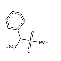 CCOC(=O)C(c1ccccc1)S(=O)(=O)NC